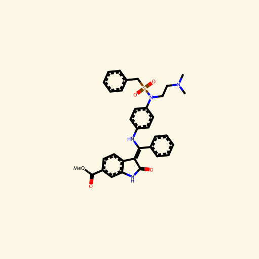 COC(=O)c1ccc2c(c1)NC(=O)C2=C(Nc1ccc(N(CCN(C)C)S(=O)(=O)Cc2ccccc2)cc1)c1ccccc1